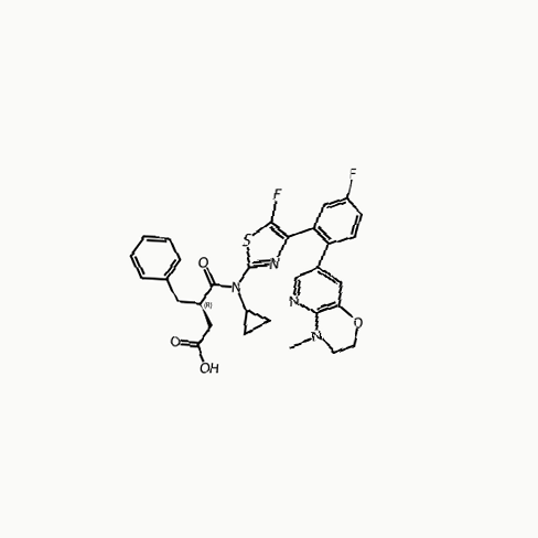 CN1CCOc2cc(-c3ccc(F)cc3-c3nc(N(C(=O)[C@@H](CC(=O)O)Cc4ccccc4)C4CC4)sc3F)cnc21